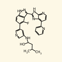 CC(C)CC(O)Nc1cncc(-c2ccc3[nH]nc(-c4nc5c(-c6ccccn6)ccnc5[nH]4)c3c2F)c1